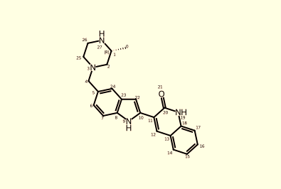 C[C@@H]1CN(Cc2ccc3[nH]c(-c4cc5ccccc5[nH]c4=O)cc3c2)CCN1